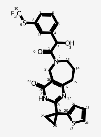 O=C(C(O)c1cccc(SC(F)(F)F)c1)N1CCCc2nc(C3(c4cccs4)CC3)[nH]c(=O)c2C1